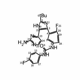 CC(C)(C)c1nc(-c2cc(NC(=O)Nc3ccc(F)cc3)ccc2F)c(-c2ccnc(N)n2)[nH]1